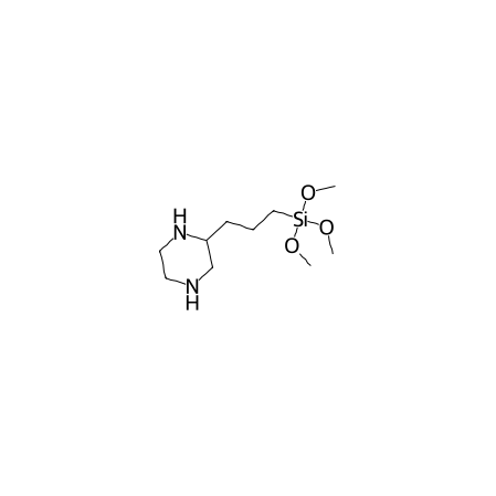 CO[Si](CCCC1CNCCN1)(OC)OC